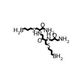 BCCCSCC(NCC(=O)C(CSCCCB)NCC(=O)CN)C(N)=O